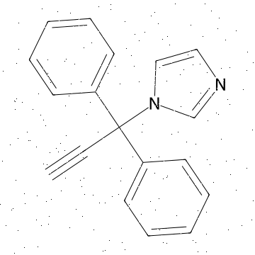 C#CC(c1ccccc1)(c1ccccc1)n1ccnc1